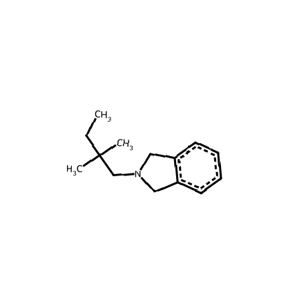 CCC(C)(C)CN1Cc2ccccc2C1